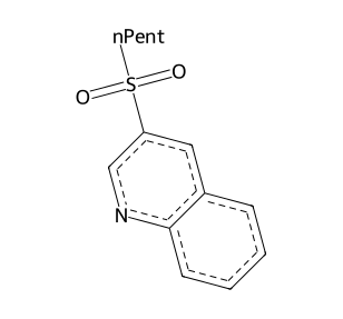 CCCCCS(=O)(=O)c1cnc2ccccc2c1